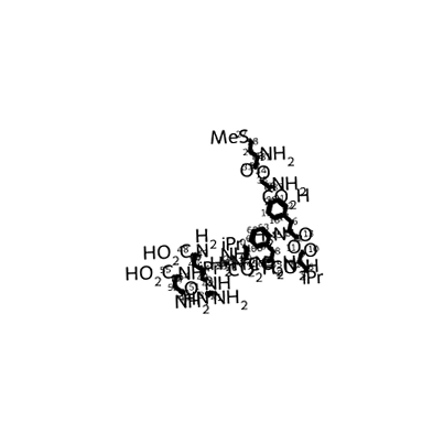 CC(C)C[C@H](N)C(=O)O.CC(C)C[C@H](N)C(=O)OC(=O)[C@@H](N)Cc1ccccc1.CC(C)[C@H](N)C(=O)O.CSCC[C@H](N)C(=O)OC[C@H](N)C(=O)O.N=C(N)NCCC[C@H](N)C(=O)O.NC(=O)C[C@H](N)C(=O)O.N[C@@H](Cc1ccccc1)C(=O)O